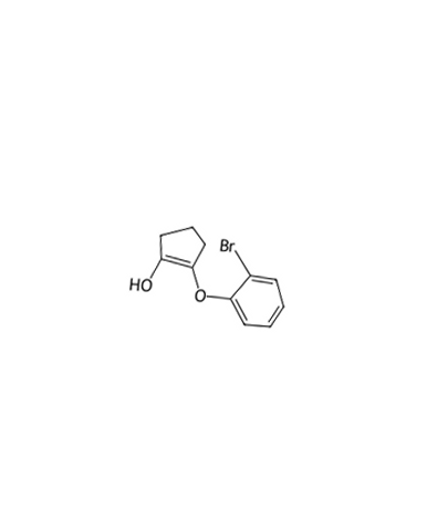 OC1=C(Oc2ccccc2Br)CCC1